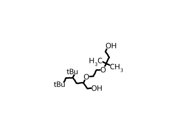 CC(C)(C)CC(CC(CO)OCCOC(C)(C)CCO)C(C)(C)C